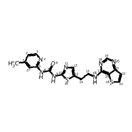 Cc1ccnc(NC(=O)Nc2ncc(CCNc3ncnc4ccsc34)s2)c1